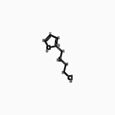 ClCCSCc1ccco1